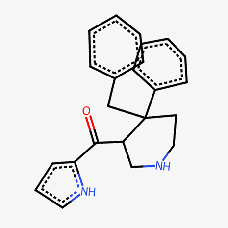 O=C(c1ccc[nH]1)C1CNCCC1(Cc1ccccc1)c1ccccc1